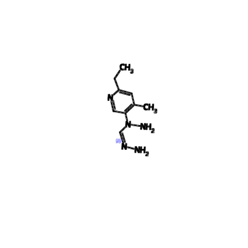 CCc1cc(C)c(N(N)/C=N\N)cn1